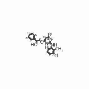 Cc1c(Cl)cccc1Nc1nc(=O)cc(OCC(O)c2ccccc2)[nH]1